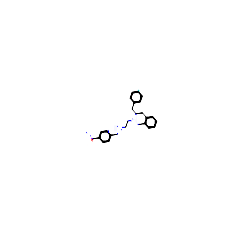 NC(=O)c1ccc(CNCCN2Cc3ccccc3CC2Cc2ccc(F)cc2)cc1